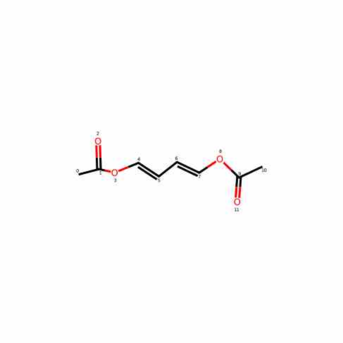 CC(=O)O/C=C/C=C/OC(C)=O